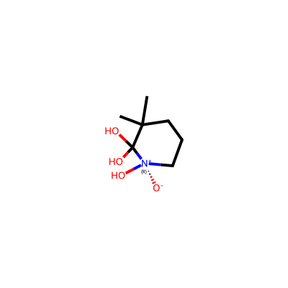 CC1(C)CCC[N@@+]([O-])(O)C1(O)O